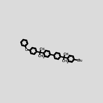 CC(C)(C)c1ccc(C(C)(C)c2ccc(-c3ccc(C(C)(C)c4ccc(Oc5ccccc5)cc4)cc3)cc2)cc1